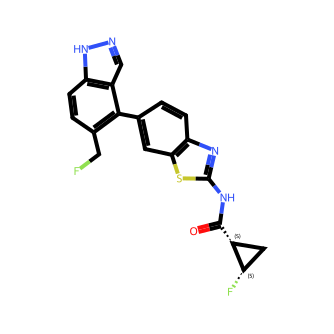 O=C(Nc1nc2ccc(-c3c(CF)ccc4[nH]ncc34)cc2s1)[C@@H]1C[C@@H]1F